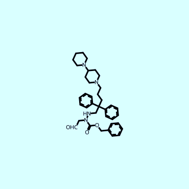 O=CCN(NCC(CCCN1CCC(N2CCCCC2)CC1)(c1ccccc1)c1ccccc1)C(=O)OCc1ccccc1